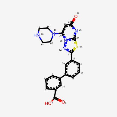 O=C(O)c1cccc(-c2cccc(-c3nn4c(N5CCNCC5)cc(=O)nc4s3)c2)c1